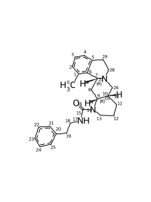 Cc1cccc2c1[C@H]1C[C@@H]3[C@@H](CCCN3C(=O)NCCc3ccccc3)CN1CC2